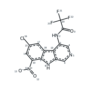 O=C(Nc1cncc2[nH]c3c([N+](=O)[O-])cc(Cl)cc3c12)C(F)(F)F